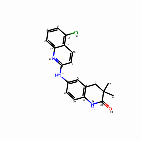 CC1(C)Cc2cc(Nc3ccc4c(Cl)cccc4n3)ccc2NC1=O